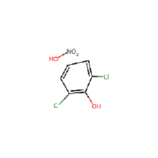 O=[N+]([O-])O.Oc1c(Cl)cccc1Cl